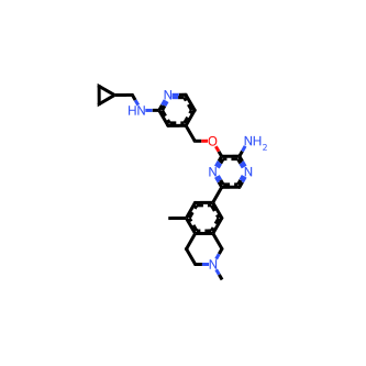 Cc1cc(-c2cnc(N)c(OCc3ccnc(NCC4CC4)c3)n2)cc2c1CCN(C)C2